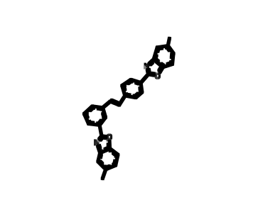 Cc1ccc2oc(-c3ccc(C=Cc4cccc(-c5nc6cc(C)ccc6o5)c4)cc3)nc2c1